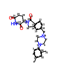 Cc1ccc(N2CCN(Cc3ccc4c(c3)CN(C3CCC(=O)NC3=O)C4=O)CC2)c(C)c1